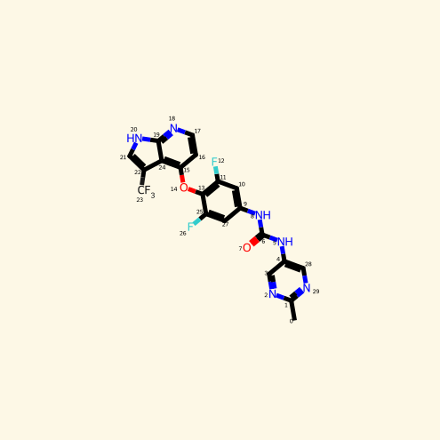 Cc1ncc(NC(=O)Nc2cc(F)c(Oc3ccnc4[nH]cc(C(F)(F)F)c34)c(F)c2)cn1